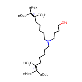 CCCCCCCC/C(CCCCCC)=C(\CCCCCN(CCCCO)CCCCC/C(C(=O)O)=C(/CCCCCC)CCCCCCCC)C(=O)O